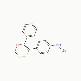 CC(C)(C)Nc1ccc(C2=C(c3ccccc3)OCCS2)cc1